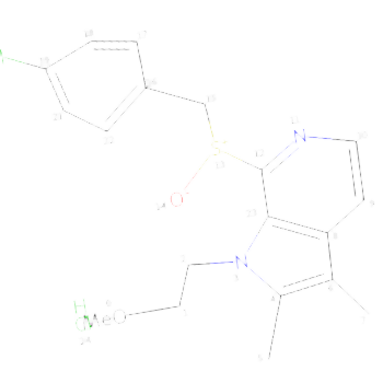 COCCn1c(C)c(C)c2ccnc([S+]([O-])Cc3ccc(Cl)cc3)c21.Cl